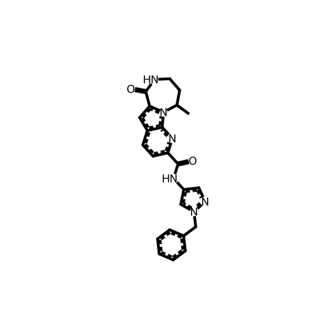 CC1CCNC(=O)c2cc3ccc(C(=O)Nc4cnn(Cc5ccccc5)c4)nc3n21